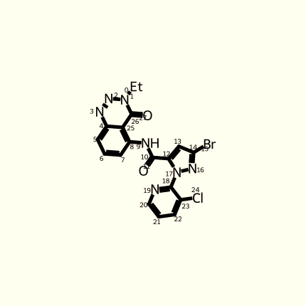 CCn1nnc2cccc(NC(=O)c3cc(Br)nn3-c3ncccc3Cl)c2c1=O